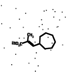 CCOC(=O)C(C)=CC1CCCCCC1